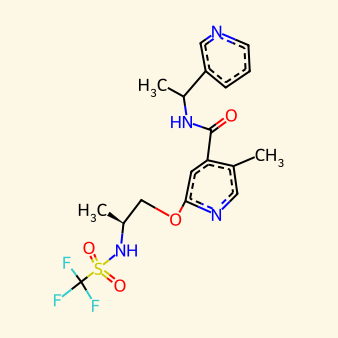 Cc1cnc(OC[C@H](C)NS(=O)(=O)C(F)(F)F)cc1C(=O)NC(C)c1cccnc1